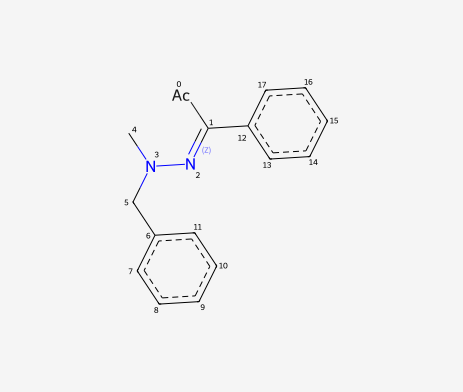 CC(=O)/C(=N\N(C)Cc1ccccc1)c1ccccc1